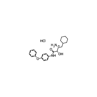 Cl.N[C@H](CC1CCCCC1)C(O)C(=O)Nc1ccc(Oc2ccccc2)cc1